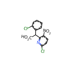 O=C(O)C(c1ccccc1Cl)c1nc(Cl)ccc1[N+](=O)[O-]